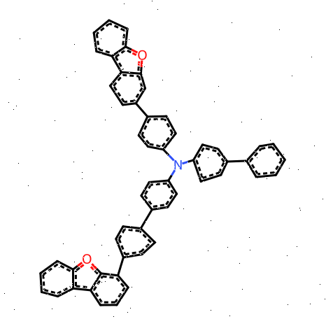 c1ccc(-c2ccc(N(c3ccc(-c4ccc(-c5cccc6c5oc5ccccc56)cc4)cc3)c3ccc(-c4ccc5c(c4)oc4ccccc45)cc3)cc2)cc1